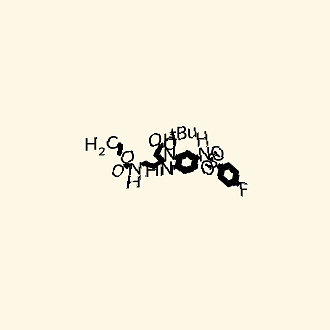 C=CCOC(=O)NCCC1(CC(=O)OC(C)(C)C)Nc2ccc(NS(=O)(=O)c3ccc(F)cc3)cc2N1